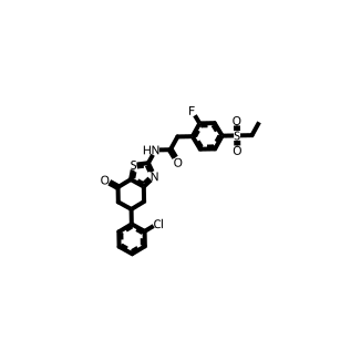 CCS(=O)(=O)c1ccc(CC(=O)Nc2nc3c(s2)C(=O)CC(c2ccccc2Cl)C3)c(F)c1